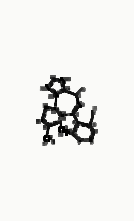 CC1N=C(c2c(F)cccc2F)c2c(ccc(C(F)(F)F)c2Cl)-n2ncnc21